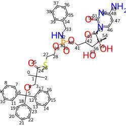 CC(C)(COC(c1ccccc1)(c1ccccc1)c1ccccc1)C(=O)SCCOP(=O)(NCc1ccccc1)OCC1O[C@@H](n2ccc(N)nc2=O)[C@](C)(O)[C@@H]1O